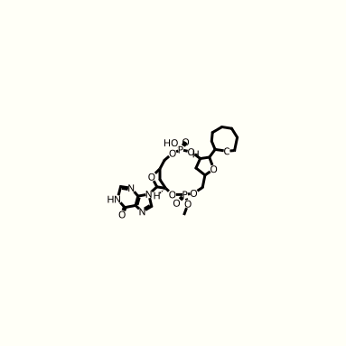 COP1(=O)OCC2C[C@@H](OP(=O)(O)OCC3C[C@@H](O1)C(n1cnc4c(=O)[nH]cnc41)O3)C(C1CCCCCCC1)O2